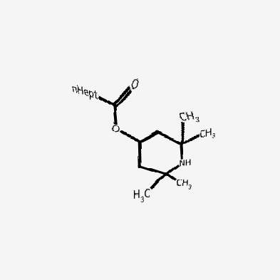 CCCCCCCC(=O)OC1CC(C)(C)NC(C)(C)C1